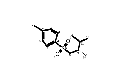 Cc1ccc(S(=O)(=O)C[C@@H](C)C(C)C)cc1